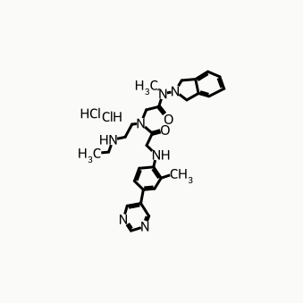 CCNCCN(CC(=O)N(C)N1Cc2ccccc2C1)C(=O)CNc1ccc(-c2cncnc2)cc1C.Cl.Cl